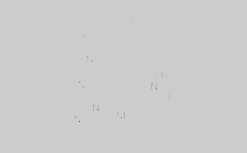 CN(C)CCCNc1nc(CN2CCN(C(=O)c3cccc(Oc4ccccc4)c3)CC2)nc2ccccc12